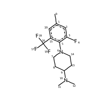 Cc1cc(F)c(N2CCC(N(C)C)CC2)c(C(F)(F)F)c1